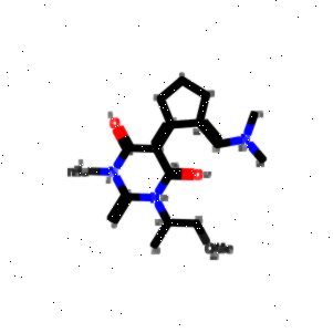 C=c1n(CCCC)c(=O)/c(=C2\CCC\C2=C/N(C)C)c(=O)n1C(C)COC